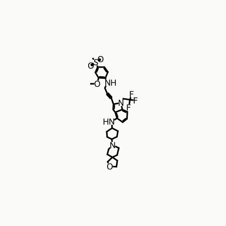 COc1cc(S(C)(=O)=O)ccc1NCC#Cc1cc2c(NC3CCC(N4CCC5(CCOC5)CC4)CC3)cccc2n1CC(F)(F)F